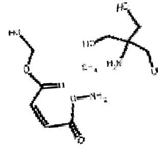 C.NC(CO)(CO)CO.NOC(=O)/C=C\C(=O)OCO